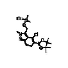 Cn1nc2ccc(B3OC(C)(C)C(C)(C)O3)c(Cl)c2c1CO[Si](C)(C)C(C)(C)C